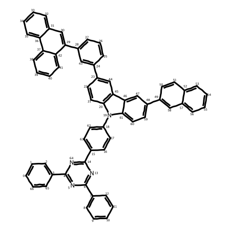 c1ccc(-c2nc(-c3ccccc3)nc(-c3ccc(-n4c5ccc(-c6cccc(-c7cc8ccccc8c8ccccc78)c6)cc5c5cc(-c6ccc7ccccc7c6)ccc54)cc3)n2)cc1